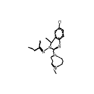 CC/C(C)=N/N1C(N2CCN(C)CC2)=Nc2ccc(Cl)cc2C1C